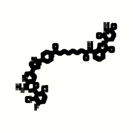 CC(Oc1cc(-c2cnn(C3CCN(C(=O)CCCCCCC(=O)Nc4cccc5c4CN(C4CCC(=O)NC4=O)C5=O)CC3)c2)cnc1N)c1c(Cl)ccc(F)c1Cl